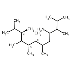 CC(C)C(C)C(N)CC(C)[C@@H](C)[C@H](C)C(C)[C@H](C)C(C)C